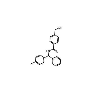 Cc1ccc(C(NC(=O)c2ccc(CO)cc2)c2ccccc2)cc1